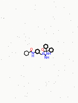 N=C1NC(c2ccccc2)(c2ccccc2)C(=O)N1Cc1cccc(NC(=O)C2CCCCC2)c1